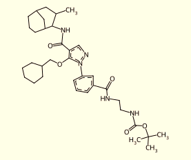 CC1CC2CCCC(C2)C1NC(=O)c1cnn(-c2cccc(C(=O)NCCNC(=O)OC(C)(C)C)c2)c1OCC1CCCCC1